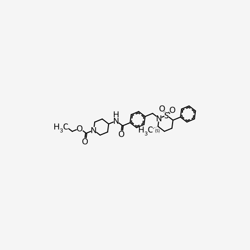 CCOC(=O)N1CCC(NC(=O)c2ccc(CN3[C@@H](C)CCC(c4ccccc4)S3(=O)=O)cc2)CC1